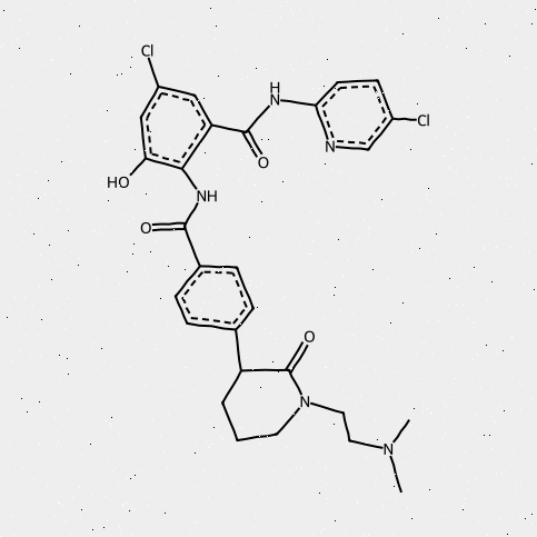 CN(C)CCN1CCCC(c2ccc(C(=O)Nc3c(O)cc(Cl)cc3C(=O)Nc3ccc(Cl)cn3)cc2)C1=O